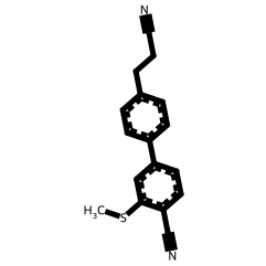 CSc1cc(-c2ccc(CCC#N)cc2)ccc1C#N